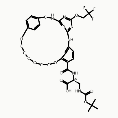 CC(C)(C)OC(=O)NC[C@H](NC(=O)c1ccc2cc1OCCCCCCOc1ccc(cc1)CNc1nc(nc(OCC(F)(F)F)n1)N2)C(=O)O